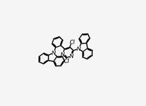 Clc1nc(-c2ccccc2-n2c3ccccc3c3ccccc32)c(Cl)c(-n2c3ccccc3c3ccccc32)n1